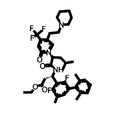 CCOC(=O)C[C@H](NC(=O)C(CC(C)C)n1cc(CCN2CCCCC2)c(C(F)(F)F)cc1=O)c1c(F)c(C)cc(-c2c(C)cccc2C)c1F